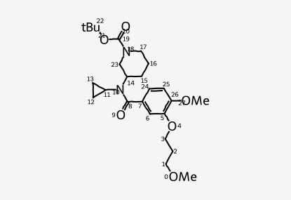 COCCCOc1cc(C(=O)N(C2CC2)C2CCCN(C(=O)OC(C)(C)C)C2)ccc1OC